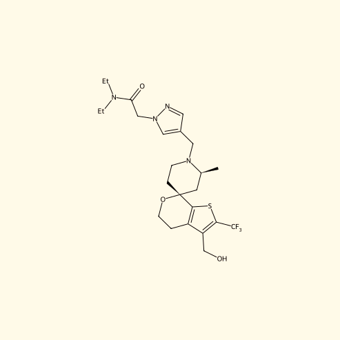 CCN(CC)C(=O)Cn1cc(CN2CC[C@]3(C[C@@H]2C)OCCc2c3sc(C(F)(F)F)c2CO)cn1